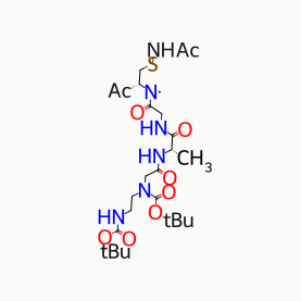 CC(=O)NSC[C@H]([N]C(=O)CNC(=O)[C@H](C)NC(=O)CN(CCNC(=O)OC(C)(C)C)C(=O)OC(C)(C)C)C(C)=O